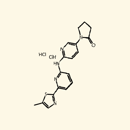 Cc1cnc(-c2cccc(Nc3ccc(N4CCCC4=O)cn3)n2)s1.Cl.Cl